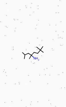 CC(C)CC(C)(N)CCC(C)(C)C